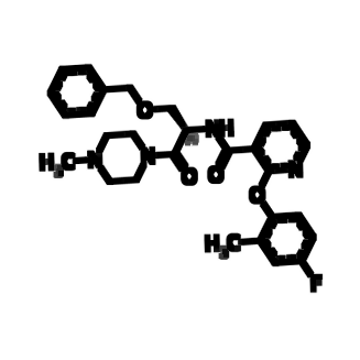 Cc1cc(F)ccc1Oc1ncccc1C(=O)N[C@H](COCc1ccccc1)C(=O)N1CCN(C)CC1